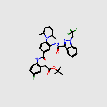 CC1CCCC(C)N1c1ccc(C(=O)Nc2ccc(F)cc2CC(=O)OC(C)(C)C)cc1NC(=O)c1nn(CC(F)(F)F)c2ccccc12